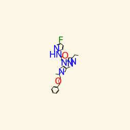 CCc1cc2n(n1)CC1=C(CN(C(C)COCc3ccccc3)C1)N2CC(=O)Nc1ccc(F)cn1